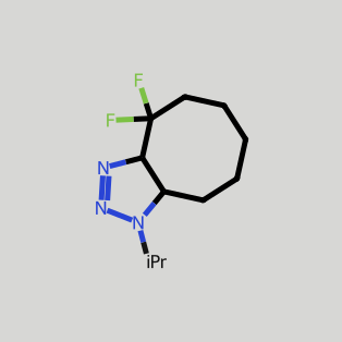 CC(C)N1N=NC2C1CCCCCC2(F)F